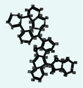 c1ccc2c(c1)-c1cccc3c1-c1c(ccc4cccc-2c14)C3c1cccc2c1oc1cc3ccccc3c(-c3nc4ccccc4o3)c12